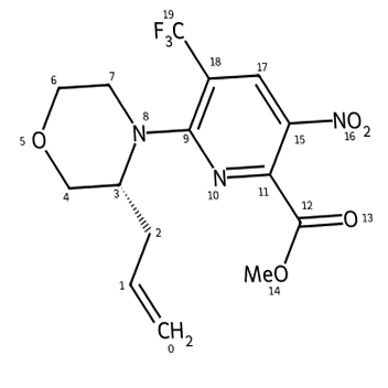 C=CC[C@@H]1COCCN1c1nc(C(=O)OC)c([N+](=O)[O-])cc1C(F)(F)F